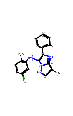 COc1ccc(Cl)cc1Nc1c(-c2ccccc2)nc2c(C#N)c[nH]n12